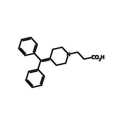 O=C(O)CCN1CCC(=C(c2ccccc2)c2ccccc2)CC1